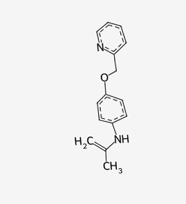 C=C(C)Nc1ccc(OCc2ccccn2)cc1